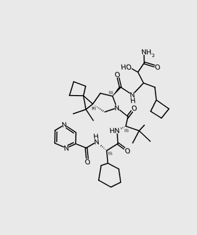 CC(C)(C)[C@H](NC(=O)[C@@H](NC(=O)c1cnccn1)C1CCCCC1)C(=O)N1C[C@]2(C[C@H]1C(=O)NC(CC1CCC1)C(O)C(N)=O)C(C)(C)C21CCC1